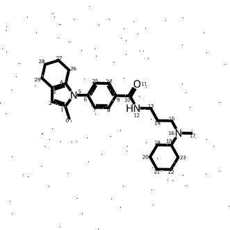 Cc1cc2c(n1-c1ccc(C(=O)NCCCN(C)C3CCCCC3)cc1)CCCC2